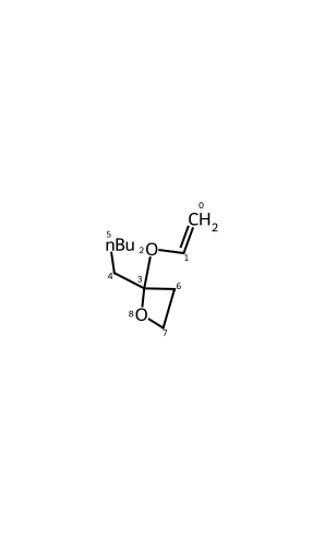 C=COC1(CCCCC)CCO1